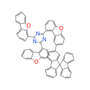 c1ccc2c(c1)-c1ccccc1C21c2ccccc2-c2ccc(-c3ccc4oc5cccc(-c6nc(-c7cccc8c7oc7ccccc78)nc(-c7cccc8oc9ccccc9c78)n6)c5c4c3)cc21